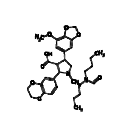 CCCCN(C=O)CCCC.COc1cc(C2CN(C)C(c3ccc4c(c3)OCCO4)C2C(=O)O)cc2c1OCO2